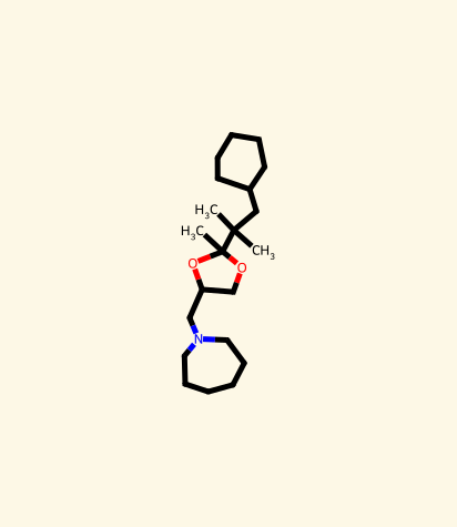 CC(C)(CC1CCCCC1)C1(C)OCC(CN2CCCCCC2)O1